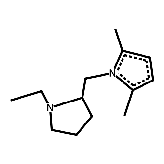 CCN1CCCC1Cn1c(C)ccc1C